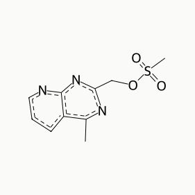 Cc1nc(COS(C)(=O)=O)nc2ncccc12